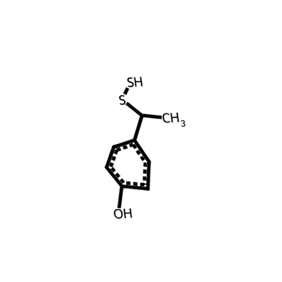 CC(SS)c1ccc(O)cc1